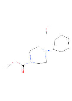 CC(C)(C)OC(=O)N1CCN([C@@H]2CCCC[C@H]2CO)CC1